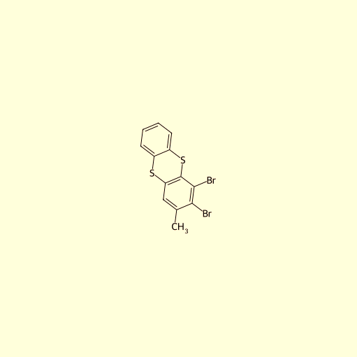 Cc1cc2c(c(Br)c1Br)Sc1ccccc1S2